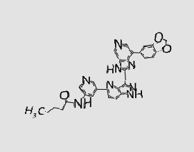 CCCCC(=O)Nc1cncc(-c2ccc3[nH]nc(-c4nc5c(-c6ccc7c(c6)OCO7)cncc5[nH]4)c3n2)c1